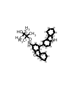 CC(C)(O)C(C)(C)OBc1cc(-c2ccc3[nH]c4ccccc4c3c2)c2c(c1)oc1ccccc12